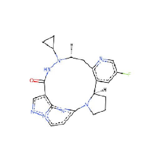 C[C@@H]1Cc2ncc(F)cc2[C@H]2CCCN2c2ccn3ncc(c3n2)C(=O)NN1C1CC1